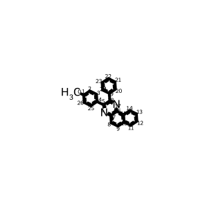 Cc1ccc(-c2nc3ccc4ccccc4c3nc2-c2ccccc2)cc1